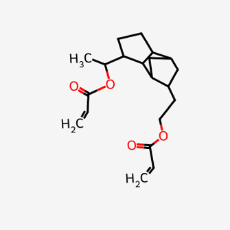 C=CC(=O)OCCC1CC2CC1C1C2CCC1C(C)OC(=O)C=C